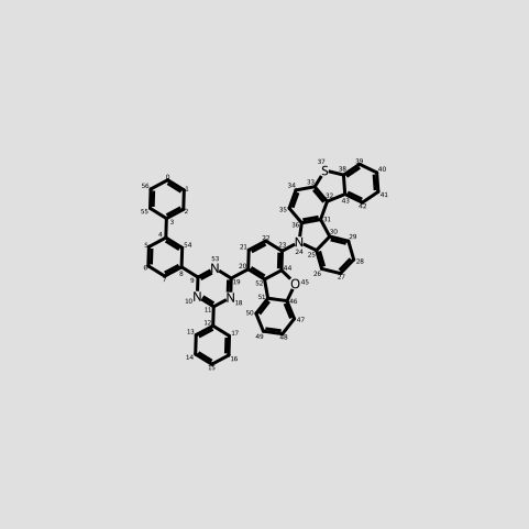 c1ccc(-c2cccc(-c3nc(-c4ccccc4)nc(-c4ccc(-n5c6ccccc6c6c7c(ccc65)sc5ccccc57)c5oc6ccccc6c45)n3)c2)cc1